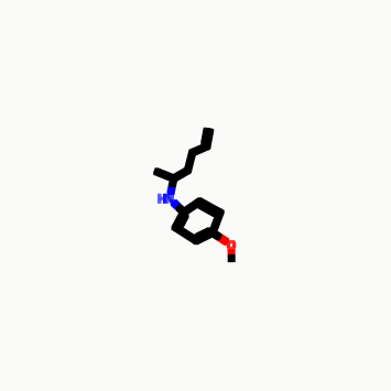 C=CCCC(C)Nc1ccc(OC)cc1